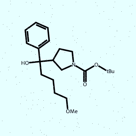 COCCCCC(O)(c1ccccc1)C1CCN(C(=O)OC(C)(C)C)C1